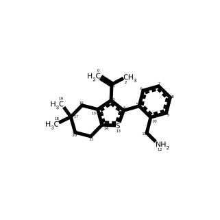 C=C(C)c1c(-c2ccccc2CN)sc2c1CC(C)(C)CC2